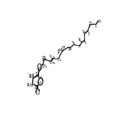 CCCCCCCCCCCCCCCCOC1CCC(=O)O1